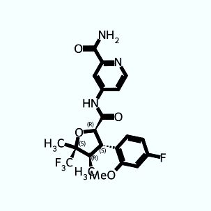 COc1cc(F)ccc1[C@@H]1[C@@H](C)[C@@](C)(C(F)(F)F)O[C@H]1C(=O)Nc1ccnc(C(N)=O)c1